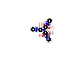 Oc1cc(N(c2ccc(-n3nc4ccccc4n3)cc2)c2cc(O)c(-n3nc4ccccc4n3)c(O)c2)cc(O)c1-c1cn2ccccc2n1